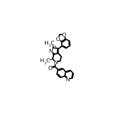 C[C@H]1c2nn(C)c(-c3cccc4c3OCO4)c2CCN1C(=O)c1ccc2ncccc2c1